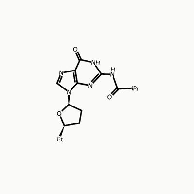 CC[C@@H]1CC[C@H](n2cnc3c(=O)[nH]c(NC(=O)C(C)C)nc32)O1